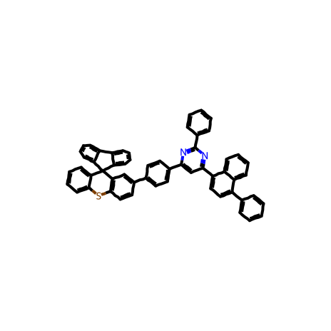 c1ccc(-c2nc(-c3ccc(-c4ccc5c(c4)C4(c6ccccc6S5)c5ccccc5-c5ccccc54)cc3)cc(-c3ccc(-c4ccccc4)c4ccccc34)n2)cc1